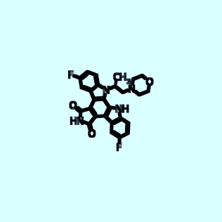 C[C@@H](CN1CCOCC1)n1c2ccc(F)cc2c2c3c(c4c5cc(F)ccc5[nH]c4c21)C(=O)NC3=O